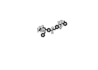 COc1cc(CC(=O)Nc2ccc(C(CC(=O)OC(=O)C(F)(F)F)NCc3ccccc3)cc2)ccc1NC(=O)Nc1ccccc1C